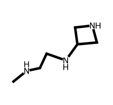 CNCCNC1CNC1